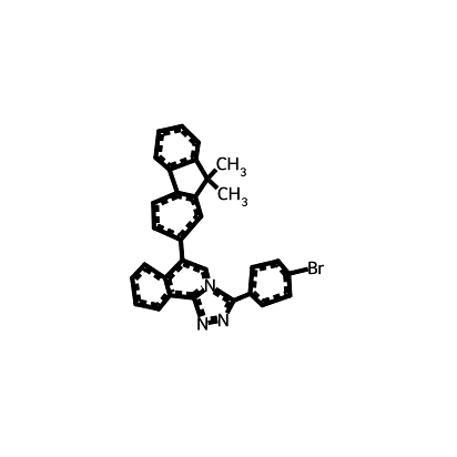 CC1(C)c2ccccc2-c2ccc(-c3cn4c(-c5ccc(Br)cc5)nnc4c4ccccc34)cc21